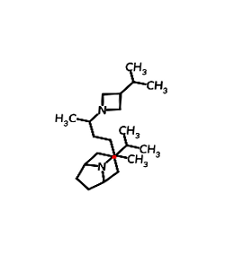 CC(C)C1CC2CCC(C1)N2C(C)CCC(C)N1CC(C(C)C)C1